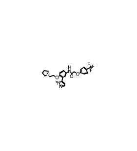 Cn1nccc1-c1cc(NC(=O)COc2ccc(C(F)(F)F)cc2)ccc1OCCN1CCCC1